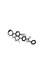 CC(c1ccc(C(=O)Nc2ccccc2)cc1)c1c(N)ncc(C2=CSCC#CC2)c1NN